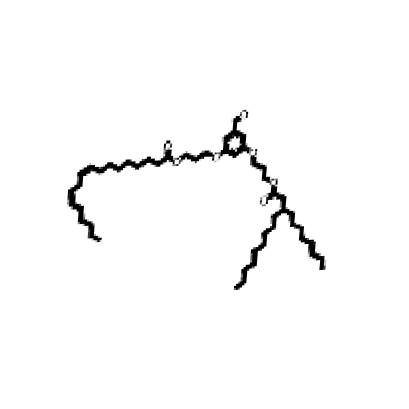 CCCCC/C=C\C/C=C\CCCCCCCC(=O)OCCCOc1cc(C=O)cc(OCCCOC(=O)CC(CCCCCCCC)CCCCCCCCC)c1